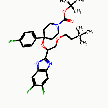 CC(C)(C)OC(=O)N1CCC(OC(COCC[Si](C)(C)C)c2nc3cc(F)c(F)cc3[nH]2)(c2ccc(Br)cc2)CC1